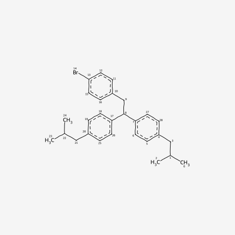 CC(C)Cc1ccc(C(Cc2ccc(Br)cc2)c2ccc(CC(C)C)cc2)cc1